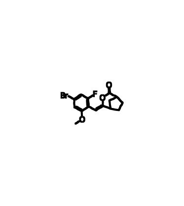 COc1cc(Br)cc(F)c1/C=C1\OC(=O)C2CCC1C2